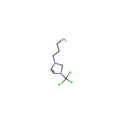 CCCCN1C=CN(C(Br)(Br)Br)C1